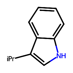 CC(C)c1c[nH]c2ccccc12